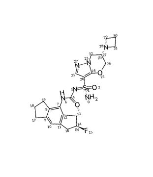 N[S@](=O)(=NC(=O)Nc1c2c(cc3c1C[C@@H](F)C3)CCC2)c1cnn2c1OC[C@@H](N1CCC1)C2